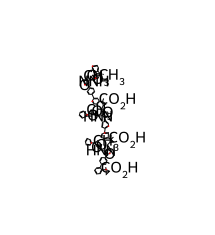 Cc1noc(-c2ccc(-c3cccc(C4(C(=O)O)CC4Cc4onc(-c5ccc(-c6cccc(C7(C(=O)O)CC7Cc7noc(-c8ccc(-c9ccccc9C9(C(=O)O)CC9)cc8)c7NC(=O)O[C@H](C)c7ccccc7)c6)cc5)c4NC(=O)O[C@H](C)c4ccccc4)c3)cc2)c1NC(=O)O[C@H](C)c1ccccc1